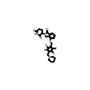 O=C1CCC(N2Cc3c(SCc4c(F)c(F)c(CN5CCCCC5)c(F)c4F)cccc3C2=O)C(=O)N1